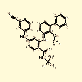 [2H]C([2H])([2H])NC(=O)c1cnc(Nc2cccc(C#N)n2)cc1Nc1cccc(-c2cnccn2)c1OC